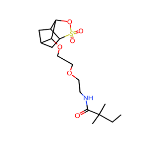 CCC(C)(C)C(=O)NCCOCCOC1C2CC3C1OS(=O)(=O)C3C2